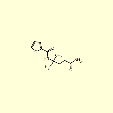 CC(C)(CCC(N)=O)NC(=O)c1ccco1